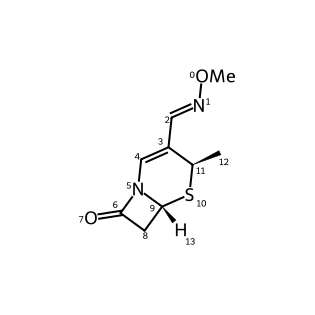 CO/N=C/C1=CN2C(=O)C[C@H]2S[C@@H]1C